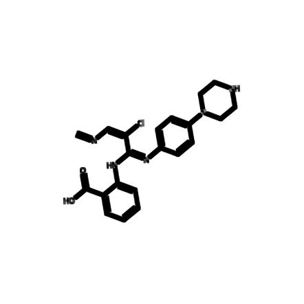 C=N/C=C(Cl)\C(=N/c1ccc(N2CCNCC2)cc1)Nc1ccccc1C(=O)O